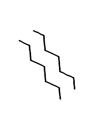 O=C(O)CCCCCO.O=CCCCCCO